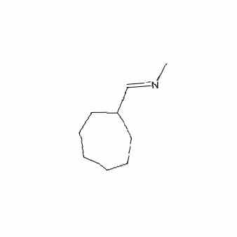 CN=CC1CCCCCC1